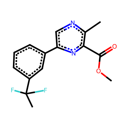 COC(=O)c1nc(-c2cccc(C(C)(F)F)c2)cnc1C